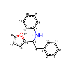 c1ccc(CC(Nc2ccccc2)c2ccco2)cc1